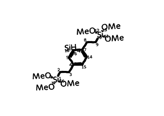 CO[Si](CCc1ccc(CC[Si](OC)(OC)OC)cc1)(OC)OC.[SiH4]